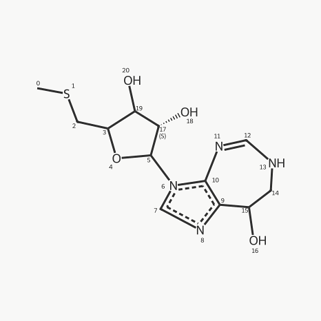 CSCC1OC(n2cnc3c2N=CNCC3O)[C@@H](O)C1O